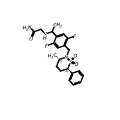 CC(NCC(N)=O)c1cc(F)c(CN2[C@@H](C)CC[C@H](c3ccccc3)S2(=O)=O)cc1F